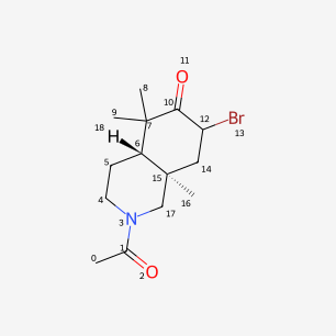 CC(=O)N1CC[C@@H]2C(C)(C)C(=O)C(Br)C[C@@]2(C)C1